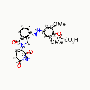 COc1cc(/N=N/c2cccc3c2CN(C2CCC(=O)NC2=O)C3=O)cc(OC)c1OCC(=O)O